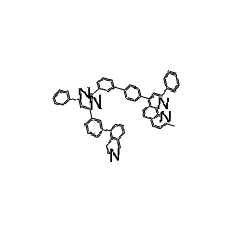 Cc1ccc2ccc3c(-c4ccc(-c5cccc(-c6nc(-c7ccccc7)cc(-c7cccc(-c8cccc9cnccc89)c7)n6)c5)cc4)cc(-c4ccccc4)nc3c2n1